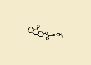 CC#CC(=O)Oc1ccc2c(c1)C(=O)c1ccccc1C2